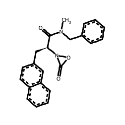 CN(Cc1ccccc1)C(=O)[C@H](Cc1ccc2ccccc2c1)N1OC1=O